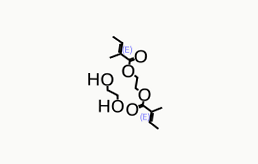 C/C=C(\C)C(=O)OCCOC(=O)/C(C)=C/C.OCCO